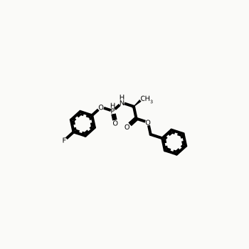 C[C@H](N[PH](=O)Oc1ccc(F)cc1)C(=O)OCc1ccccc1